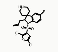 C=CCC1N(S(=O)(=O)c2cc(Cl)sc2Cl)c2ccc(F)cc2C12CCNCC2